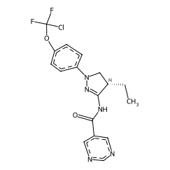 CC[C@H]1CN(c2ccc(OC(F)(F)Cl)cc2)N=C1NC(=O)c1cncnc1